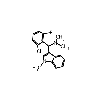 CN(C)C(c1c(F)cccc1Cl)c1cn(C)c2ccccc12